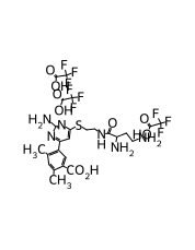 Cc1cc(C)c(-c2cc(SCCNC(=O)C(N)CCN)nc(N)n2)cc1C(=O)O.O=C(O)C(F)(F)F.O=C(O)C(F)(F)F.O=C(O)C(F)(F)F